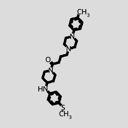 CSc1ccc(NC2CCN(C(=O)CCCN3CCN(c4ccc(C)cc4)CC3)CC2)cc1